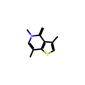 C=C1c2c(C)csc2C(C)=CN1C